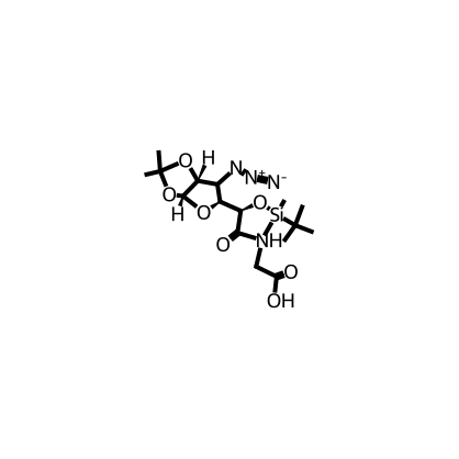 CC1(C)O[C@H]2O[C@H]([C@@H](O[Si](C)(C)C(C)(C)C)C(=O)NCC(=O)O)C(N=[N+]=[N-])[C@H]2O1